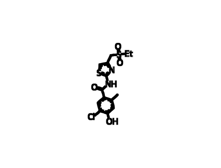 CCS(=O)(=O)Cc1csc(NC(=O)c2cc(Cl)c(O)cc2C)n1